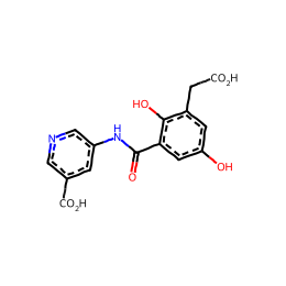 O=C(O)Cc1cc(O)cc(C(=O)Nc2cncc(C(=O)O)c2)c1O